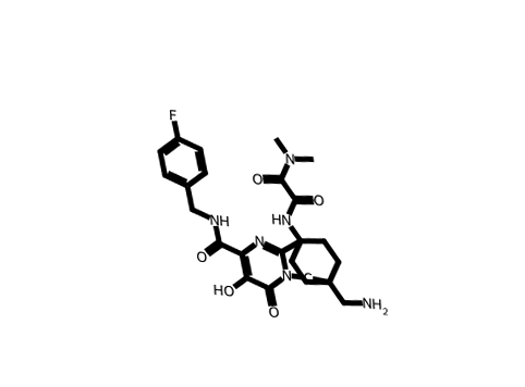 CN(C)C(=O)C(=O)NC12CCC(CN)(CC1)Cn1c2nc(C(=O)NCc2ccc(F)cc2)c(O)c1=O